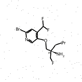 CC(C)C[C@](N)(CF)COc1cnc(Br)cc1C(F)F